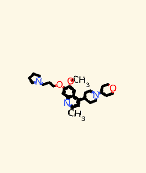 COc1cc2c(C3CCN(C4CCOCC4)CC3)cc(C)nc2cc1OCCCN1CCCC1